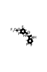 O=C(Nc1c[nH]c2cc(F)c(F)cc12)c1cc(F)c(OCC(F)(F)F)c(F)c1